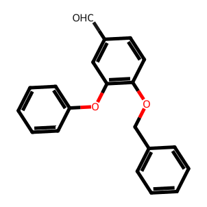 O=Cc1ccc(OCc2ccccc2)c(Oc2ccccc2)c1